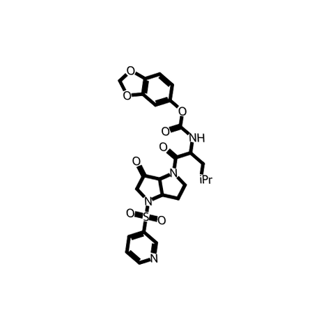 CC(C)CC(NC(=O)Oc1ccc2c(c1)OCO2)C(=O)N1CCC2C1C(=O)CN2S(=O)(=O)c1cccnc1